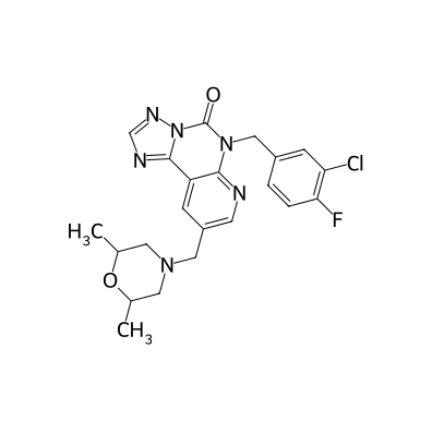 CC1CN(Cc2cnc3c(c2)c2ncnn2c(=O)n3Cc2ccc(F)c(Cl)c2)CC(C)O1